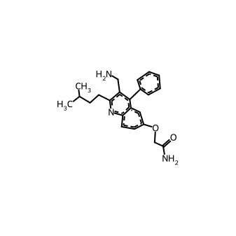 CC(C)CCc1nc2ccc(OCC(N)=O)cc2c(-c2ccccc2)c1CN